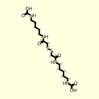 O=C(O)NCCCCCNC(=O)CSSCC(=O)NCCCCCNC(=O)O